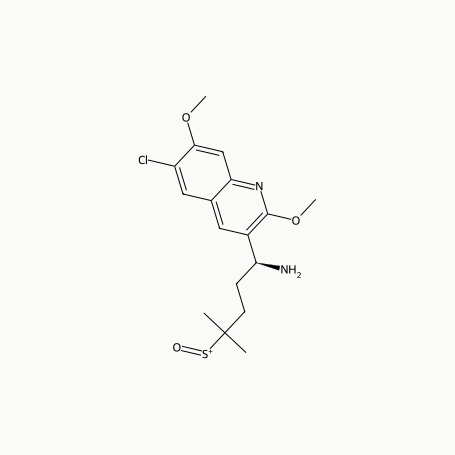 COc1cc2nc(OC)c([C@@H](N)CCC(C)(C)[S+]=O)cc2cc1Cl